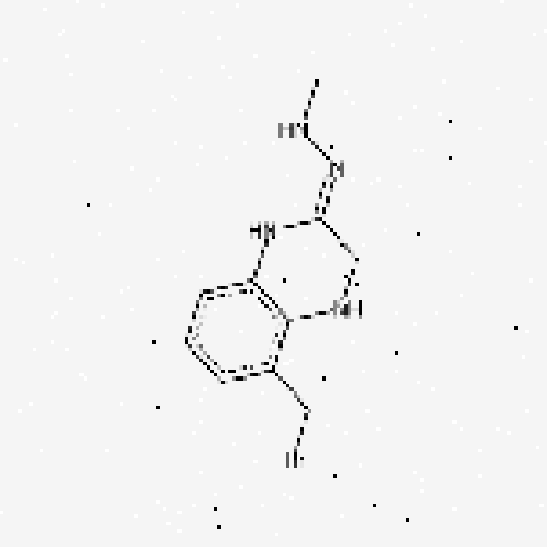 CN/N=C1/CNc2c(CBr)cccc2N1